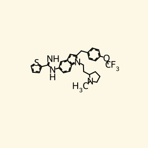 CN1CCCC1CCn1c(Cc2ccc(OC(F)(F)F)cc2)cc2cc(NC(=N)c3cccs3)ccc21